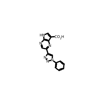 O=C(O)c1c[nH]c2ncc(-c3cn(-c4ccccc4)nn3)nc12